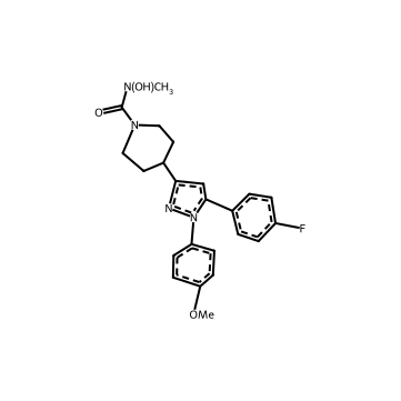 COc1ccc(-n2nc(C3CCN(C(=O)N(C)O)CC3)cc2-c2ccc(F)cc2)cc1